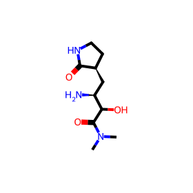 CN(C)C(=O)C(O)[C@@H](N)C[C@@H]1CCNC1=O